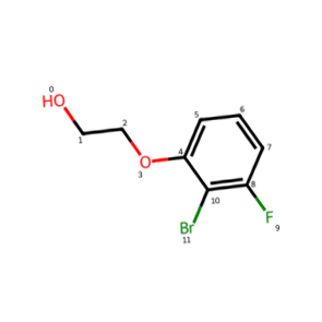 OCCOc1cccc(F)c1Br